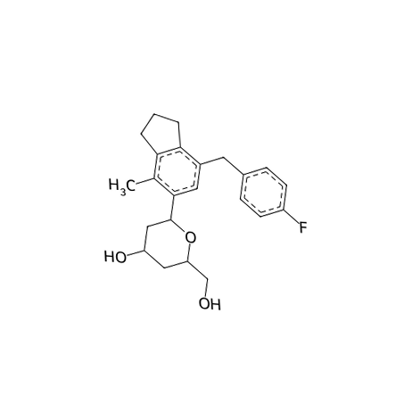 Cc1c(C2CC(O)CC(CO)O2)cc(Cc2ccc(F)cc2)c2c1CCC2